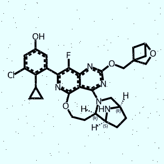 Oc1cc(Cl)c(C2CC2)c(-c2nc3c4c(nc(OCC56COC(C5)C6)nc4c2F)N2C[C@H]4CC[C@H](N4)[C@H]2CCO3)c1